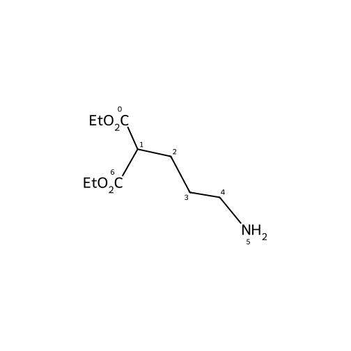 CCOC(=O)C(CCCN)C(=O)OCC